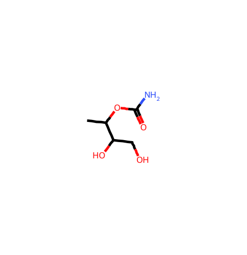 CC(OC(N)=O)C(O)CO